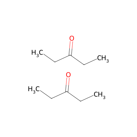 CCC(=O)CC.CCC(=O)CC